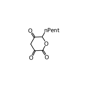 CCCCCC1OC(=O)C(=O)CC1=O